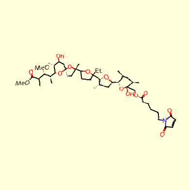 CC[C@@]1([C@@H]2O[C@@H]([C@H]3O[C@@](O)(COC(=O)CCCCCN4C(=O)C=CC4=O)[C@H](C)C[C@@H]3C)C[C@@H]2C)CCC([C@]2(C)CC[C@]3(C[C@H](O)[C@@H](C)[C@@H]([C@@H](C)[C@@H](OC)C(C)C(=O)OC)O3)O2)O1